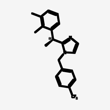 Cc1cccc([C@H](C)c2nccn2Cc2ccc(C(F)(F)F)cc2)c1C